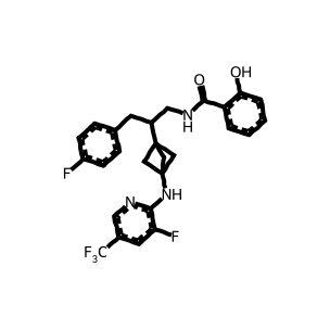 O=C(NCC(Cc1ccc(F)cc1)C12CC(Nc3ncc(C(F)(F)F)cc3F)(C1)C2)c1ccccc1O